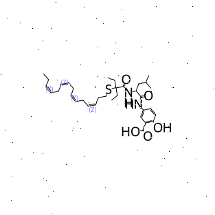 CC/C=C\C/C=C\C/C=C\C/C=C\CCSC(CC)(CC)C(=O)NC(CC(C)C)C(=O)Nc1ccc(O)c(C(=O)O)c1